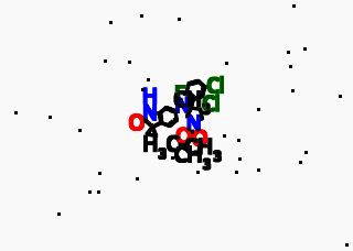 CN(c1ccc2c(c1)NC(=O)C21CC1)C1(c2c(F)ccc(Cl)c2Cl)CCN(C(=O)OC(C)(C)C)C1